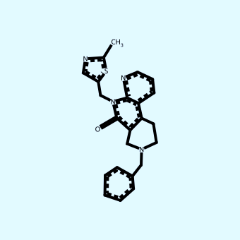 Cc1ncc(Cn2c(=O)c3c(c4cccnc42)CCN(Cc2ccccc2)C3)s1